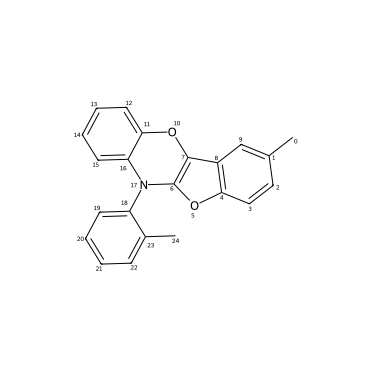 Cc1ccc2oc3c(c2c1)Oc1ccccc1N3c1ccccc1C